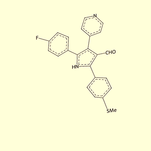 CSc1ccc(-c2[nH]c(-c3ccc(F)cc3)c(-c3ccncc3)c2C=O)cc1